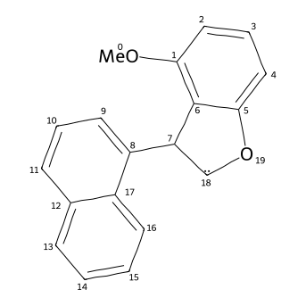 COc1cccc2c1C(c1cccc3ccccc13)[C]O2